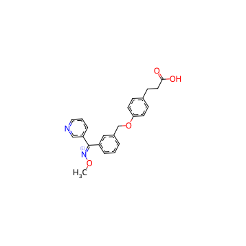 CO/N=C(/c1cccnc1)c1cccc(COc2ccc(CCC(=O)O)cc2)c1